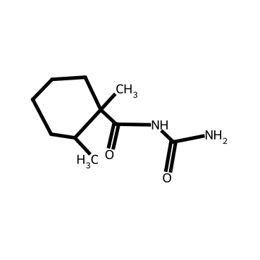 CC1CCCCC1(C)C(=O)NC(N)=O